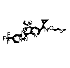 CCS(=O)(=O)c1cc(/C(=N/OCCSC)C2CC2)cnc1-c1nc2cc(C(F)(F)F)ccn2n1